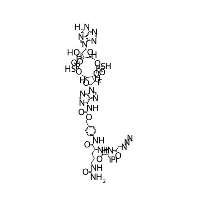 CC(C)[C@H](NC(=O)CN=[N+]=[N-])C(=O)N[C@@H](CCCNC(N)=O)C(=O)Nc1ccc(COC(=O)Nc2ncnc3c2ncn3[C@@H]2O[C@@H]3CO[P@](=O)(S)O[C@H]4[C@@H](O)[C@H](n5cnc6c(N)ncnc65)O[C@@H]4CO[P@@](=O)(S)O[C@H]3[C@H]2F)cc1